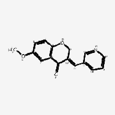 COc1ccc2c(c1)C(=O)/C(=C/c1cccnc1)CO2